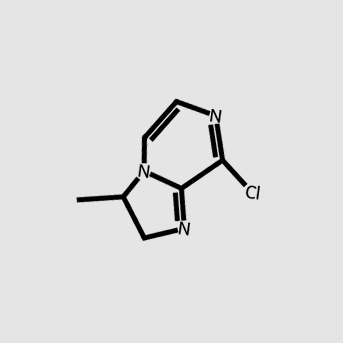 CC1CN=C2C(Cl)=NC=CN21